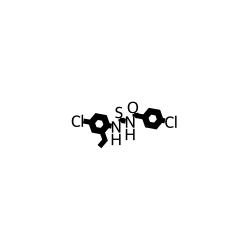 CCc1cc(Cl)ccc1NC(=S)NC(=O)c1ccc(Cl)cc1